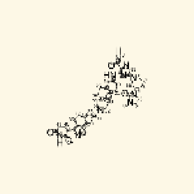 CN1CCN([C@@H]2CCCN(c3cnc(C(N)=O)c(Nc4ccc5c(c4)CCC4(CCN(C[C@H]6Cc7ccc8c(C9CCC(=O)NC9=O)noc8c7C6)CC4)O5)n3)C2)C1=O